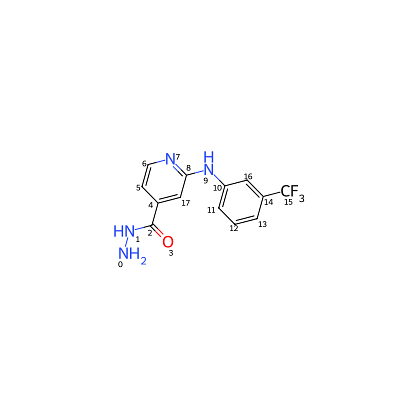 NNC(=O)c1ccnc(Nc2cccc(C(F)(F)F)c2)c1